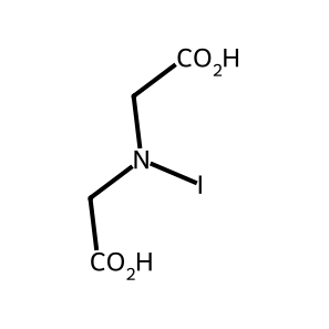 O=C(O)CN(I)CC(=O)O